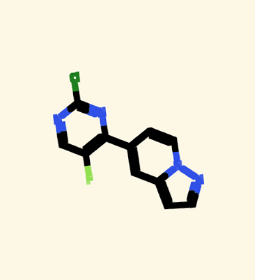 Fc1cnc(Cl)nc1-c1ccn2nccc2c1